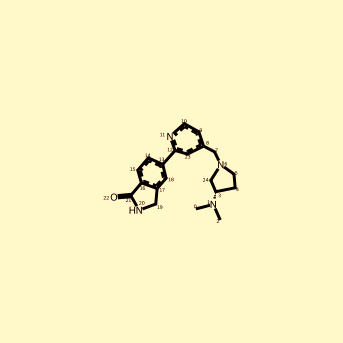 CN(C)[C@H]1CCN(Cc2ccnc(-c3ccc4c(c3)CNC4=O)c2)C1